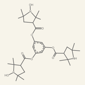 CC1(C)CC(C(=O)Oc2cc(OC(=O)C3CC(C)(C)N(O)C3(C)C)cc(OC(=O)C3CC(C)(C)N(O)C3(C)C)c2)C(C)(C)N1